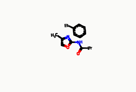 CCc1ccccc1.Cc1coc(NC(=O)C(C)C)n1